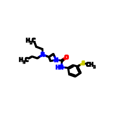 CCCN(CCC)C1CN(C(=O)Nc2cccc(SC)c2)C1